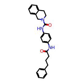 O=C(CCCc1ccccc1)Nc1ccc(NC(=O)N2CCc3ccccc3C2)cc1